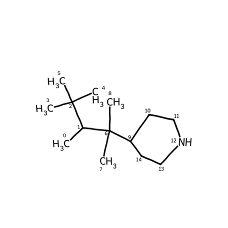 CC(C(C)(C)C)C(C)(C)C1CCNCC1